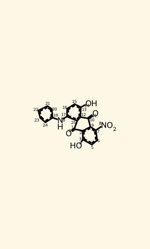 O=C1c2c(O)ccc([N+](=O)[O-])c2C(=O)c2c(O)ccc(Nc3ccccc3)c21